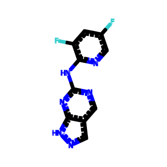 Fc1cnc(Nc2ncc3cn[nH]c3n2)c(F)c1